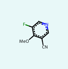 COc1c(F)[c]ncc1C#N